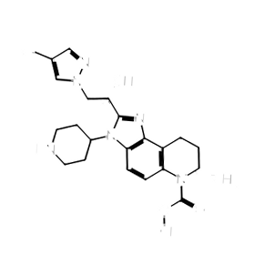 COC(=O)N1c2ccc3c(nc([C@@H](C)Cn4cc(Cl)cn4)n3C3CCNCC3)c2CC[C@@H]1C